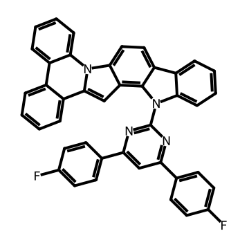 Fc1ccc(-c2cc(-c3ccc(F)cc3)nc(-n3c4ccccc4c4ccc5c(cc6c7ccccc7c7ccccc7n65)c43)n2)cc1